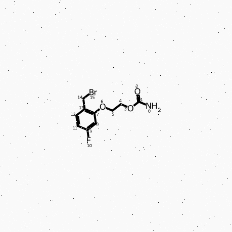 NC(=O)OCCOc1cc(F)ccc1CBr